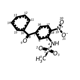 CS(=O)(=O)Nc1cc(C(=O)c2ccccc2)ccc1[N+](=O)[O-]